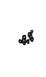 c1ccc(N(c2cccc(N(c3ccccc3)c3cccc4c3sc3ccccc34)c2)c2cccc3c2sc2ccccc23)cc1